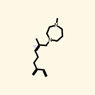 C=CC(=C)CC/C=C(/C)CN1CCCN(C)CC1